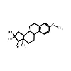 COc1ccc2c(c1)CCC1C2CCC2(C)C1CC(C)(O)C2O